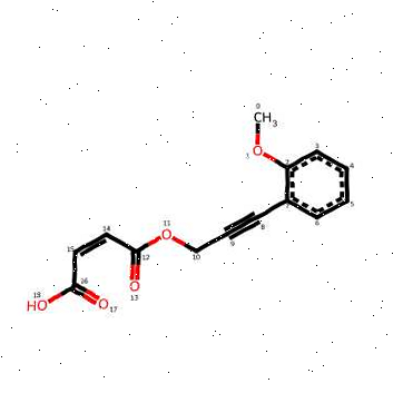 COc1ccccc1C#CCOC(=O)/C=C\C(=O)O